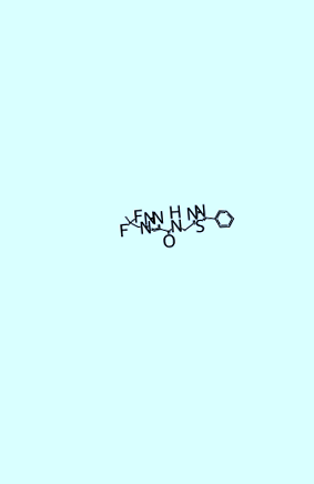 CC(F)(F)Cn1cc(C(=O)NCc2nnc(-c3ccccc3)s2)nn1